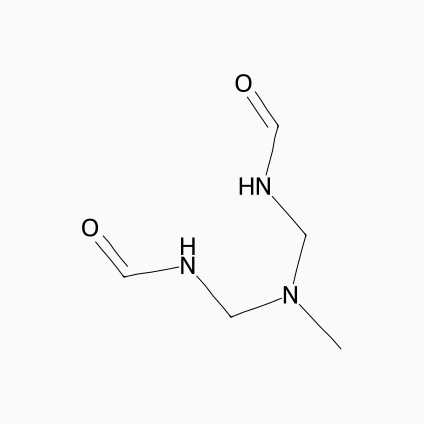 CN(CNC=O)CNC=O